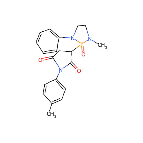 Cc1ccc(N2C(=O)CC(P3(=O)N(C)CCN3c3ccccc3)C2=O)cc1